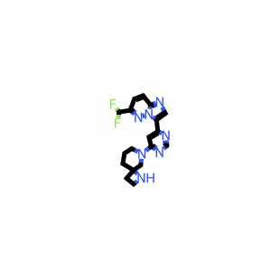 FC(F)c1ccc2ncc(-c3cc(N4CCCC5(CCN5)C4)ncn3)n2n1